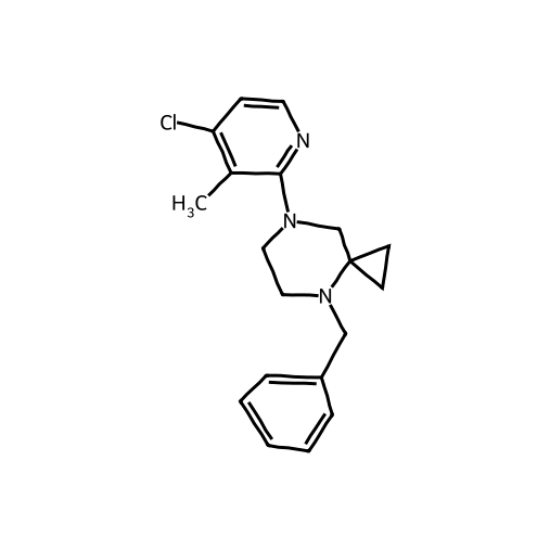 Cc1c(Cl)ccnc1N1CCN(Cc2ccccc2)C2(CC2)C1